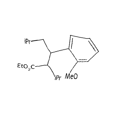 CCOC(=O)C(C(C)C)C(CC(C)C)c1ccccc1OC